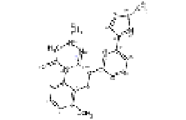 Cc1cccc(N(C=O)/N=N\N(C)C)c1COc1cccc(-c2ccn(C)n2)n1